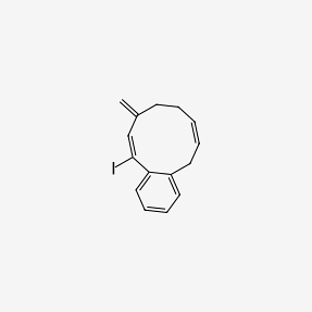 C=C1/C=C(/I)c2ccccc2C/C=C\CC1